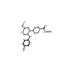 CC(C)(C)OC(=O)N1CCC(N2C[C@H](CF)OC[C@@H]2Cc2ccc(Br)cc2)CC1